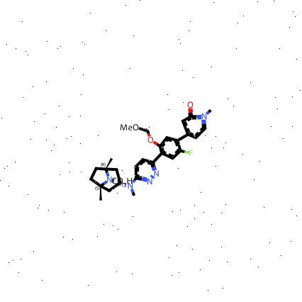 COCOc1cc(-c2ccn(C)c(=O)c2)c(F)cc1-c1ccc(N(C)[C@@H]2C[C@]3(C)CC[C@](C)(C2)N3C(=O)O)nn1